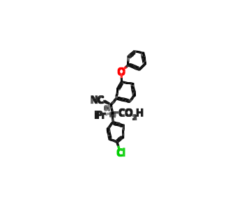 CC(C)[C@](C(=O)O)(c1ccc(Cl)cc1)[C@@H](C#N)c1cccc(Oc2ccccc2)c1